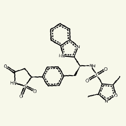 Cc1noc(C)c1S(=O)(=O)N[C@@H](Cc1ccc(C2CC(=O)NS2(=O)=O)cc1)c1nc2ccccc2[nH]1